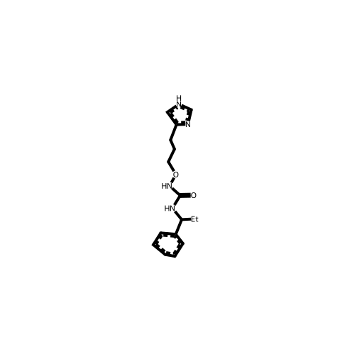 CCC(NC(=O)NOCCCc1c[nH]cn1)c1ccccc1